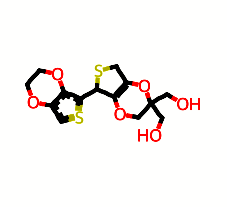 OCC1(CO)COC2=C(CSC2c2scc3c2OCCO3)O1